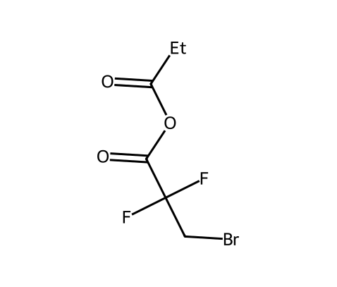 CCC(=O)OC(=O)C(F)(F)CBr